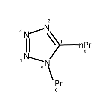 CCCc1nnnn1C(C)C